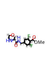 COC(=O)c1c(F)cc(CNC(=O)[C@H]2COCCN2)cc1F